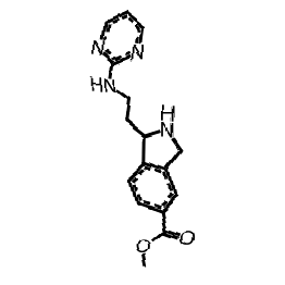 COC(=O)c1ccc2c(c1)CNC2CCNc1ncccn1